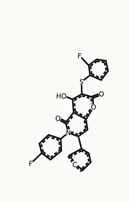 O=c1oc2cc(-c3ccccc3)n(-c3ccc(F)cc3)c(=O)c2c(O)c1Sc1ccccc1F